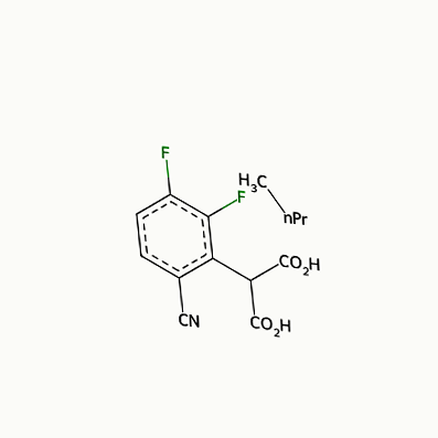 CCCC.N#Cc1ccc(F)c(F)c1C(C(=O)O)C(=O)O